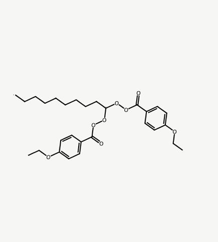 [CH2]CCCCCCCC[C](OOC(=O)c1ccc(OCC)cc1)OOC(=O)c1ccc(OCC)cc1